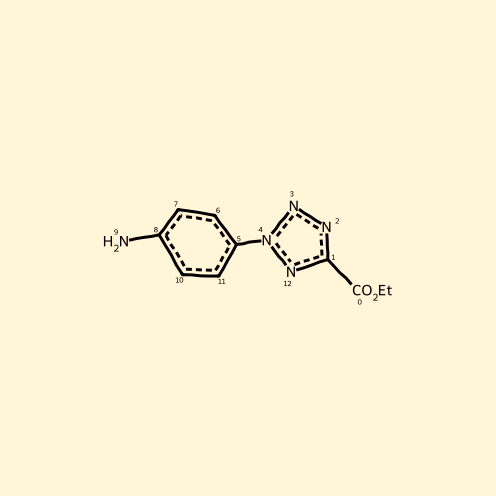 CCOC(=O)c1nnn(-c2ccc(N)cc2)n1